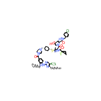 CNc1nc(Nc2ccc(C(=O)N3CCN(C[C@H]4CC[C@@H](CSC(C)(C)[C@H](NC(=O)C5(F)CC5)C(=O)N5C[C@H](O)CC5C(=O)NCc5ccc(Cl)cc5)CC4)CC3)cc2OC)ncc1Cl